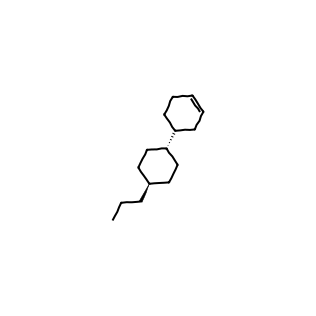 CCC[C@H]1CC[C@H](C2CC=CCC2)CC1